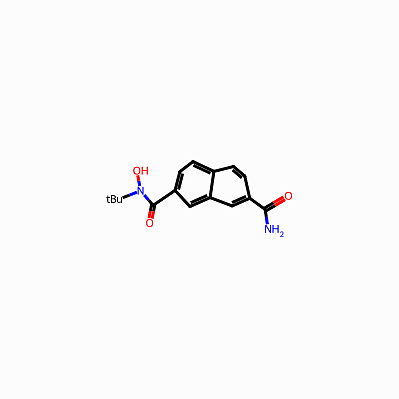 CC(C)(C)N(O)C(=O)c1ccc2ccc(C(N)=O)cc2c1